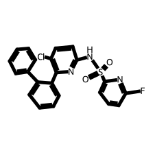 O=S(=O)(Nc1ccc(Cl)c(-c2ccccc2-c2ccccc2)n1)c1cccc(F)n1